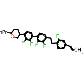 C/C=C/c1ccc(CCc2ccc(-c3ccc(C4CCC(CCC)OC4)c(F)c3F)c(F)c2F)c(F)c1